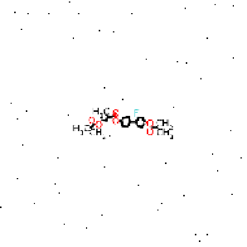 C=C(C)C(=O)OCCC(=C)C(=O)Oc1ccc(-c2ccc(OC(=O)C(=C)C)cc2F)cc1